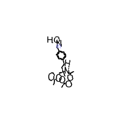 CC(=O)NC(CCc1ccc(/C=N/O)cc1)(COC(C)=O)COC(C)=O